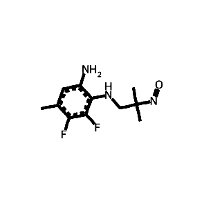 Cc1cc(N)c(NCC(C)(C)N=O)c(F)c1F